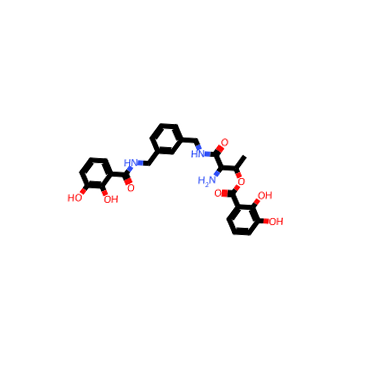 CC(OC(=O)c1cccc(O)c1O)C(N)C(=O)NCc1cccc(CNC(=O)c2cccc(O)c2O)c1